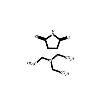 O=C(O)CN(CC(=O)O)CC(=O)O.O=C1CCC(=O)N1